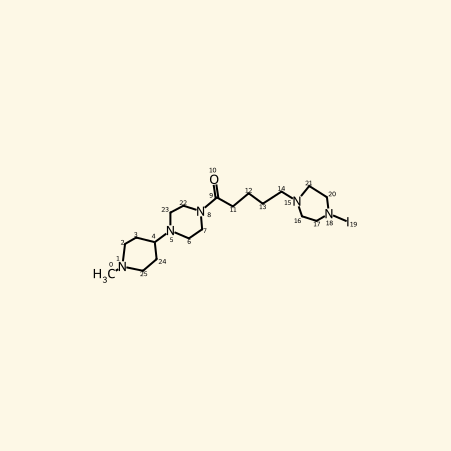 CN1CCC(N2CCN(C(=O)CCCCN3CCN(I)CC3)CC2)CC1